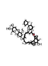 CO[C@H]1C[C@H](OC2/C(C)=C/C[C@@H]3C[C@@H](C[C@]4(C=C[C@H](C)[C@@H](C5CCCCC5)O4)O3)OC(=O)[C@@H]3C=C(C)[C@@H](O)[C@H]4OC/C(=C\C=C\[C@@H]2C)[C@]43O)O[C@@H](C)C1O[C@H]1C[C@H](OC)[C@@H](O)[C@H](C)O1